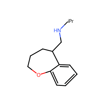 CC(C)NCC1CCCOc2ccccc21